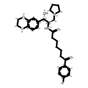 O=C(CCCCCC(=O)c1ccc(F)cc1)N[C@H](CN1CCCC1)[C@@H](O)c1ccc2c(c1)OCCO2